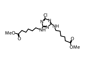 COC(=O)CCCCCNc1nc(Cl)nc(NCCCCCC(=O)OC)n1